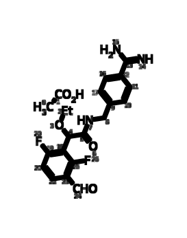 CC(=O)O.CCOC(C(=O)NCc1ccc(C(=N)N)cc1)c1c(F)ccc(C=O)c1F